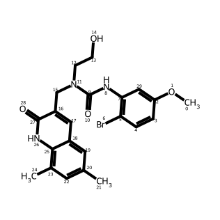 COc1ccc(Br)c(NC(=O)N(CCO)Cc2cc3cc(C)cc(C)c3[nH]c2=O)c1